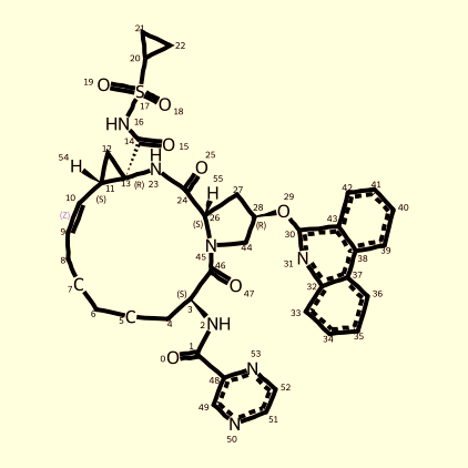 O=C(N[C@H]1CCCCC/C=C\[C@@H]2C[C@@]2(C(=O)NS(=O)(=O)C2CC2)NC(=O)[C@@H]2C[C@@H](Oc3nc4ccccc4c4ccccc34)CN2C1=O)c1cnccn1